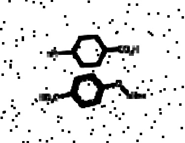 CCCC1CCC(C(=O)O)CC1.CCCCCCOc1ccc(C(=O)O)cc1